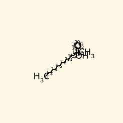 CCCCCCCCCCCCCCC(C)(O)c1ccccc1